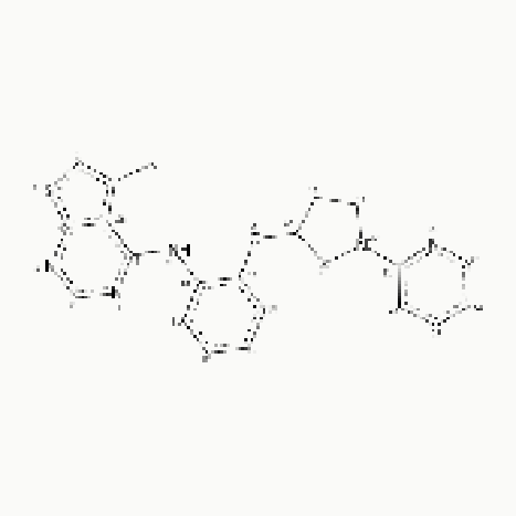 Cc1csc2ncnc(Nc3ccccc3OC3CCN(c4ccccn4)C3)c12